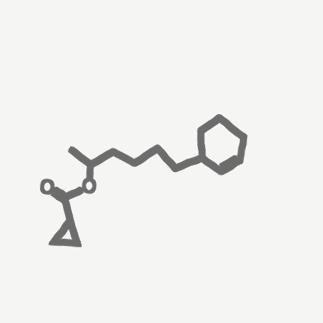 CC(CCCCC1C=CCCC1)OC(=O)C1CC1